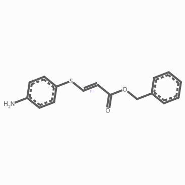 Nc1ccc(S/C=C/C(=O)OCc2ccccc2)cc1